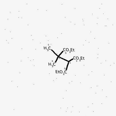 CCOC(=O)C(C(=O)OCC)C(C)(C)C(=O)OCC